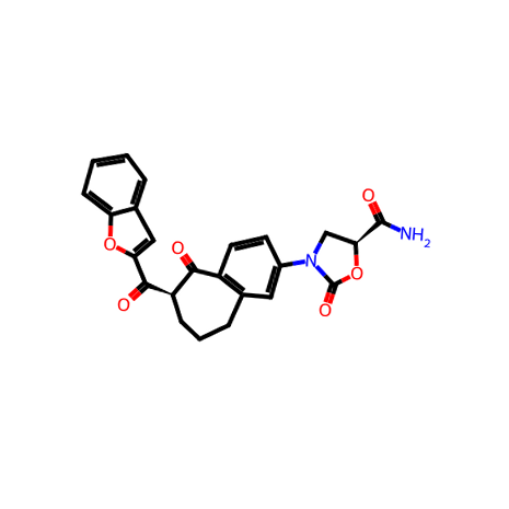 NC(=O)[C@@H]1CN(c2ccc3c(c2)CCC[C@@H](C(=O)c2cc4ccccc4o2)C3=O)C(=O)O1